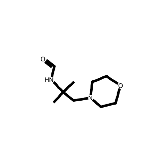 CC(C)(CN1CCOCC1)NC=O